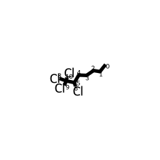 CCCCCC(Cl)C(Cl)(Cl)Cl